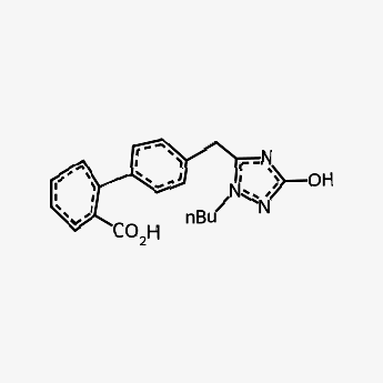 CCCCn1nc(O)nc1Cc1ccc(-c2ccccc2C(=O)O)cc1